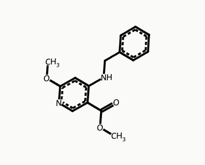 COC(=O)c1cnc(OC)cc1NCc1ccccc1